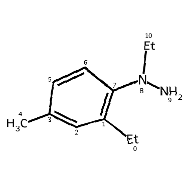 CCc1cc(C)ccc1N(N)CC